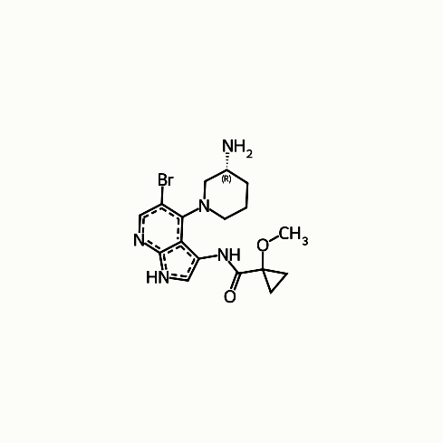 COC1(C(=O)Nc2c[nH]c3ncc(Br)c(N4CCC[C@@H](N)C4)c23)CC1